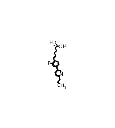 C=CCc1ccc(-c2ccc(C=CCCCC(C)O)c(F)c2)cn1